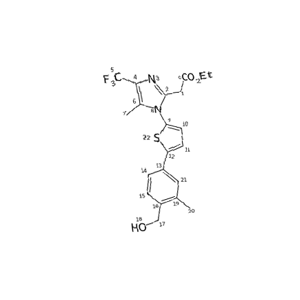 CCOC(=O)Cc1nc(C(F)(F)F)c(C)n1-c1ccc(-c2ccc(CO)c(C)c2)s1